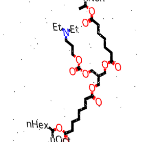 CCCCCCCCCC(C)OC(=O)CCCCCC(=O)OCC(COC(=O)CCCCCCC(=O)OC(CCCCCC)CCCCCCCC)COC(=O)OCCCN(CC)CC